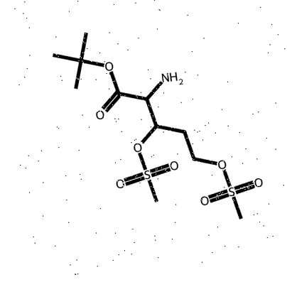 CC(C)(C)OC(=O)C(N)C(CCOS(C)(=O)=O)OS(C)(=O)=O